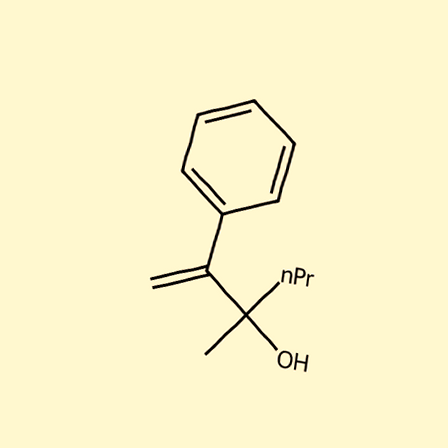 C=C(c1ccccc1)C(C)(O)CCC